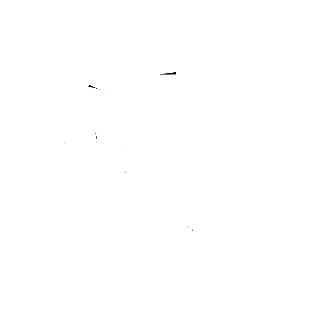 CC(C)C1=CC2CC3(C=O)[C@@H]4CC[C@@H](C)[C@H]4CC2(C2CC(CCCF)C(CN4CCCCC4)O2)C13C(=O)O